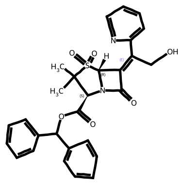 CC1(C)[C@H](C(=O)OC(c2ccccc2)c2ccccc2)N2C(=O)/C(=C(\CO)c3ccccn3)[C@H]2S1(=O)=O